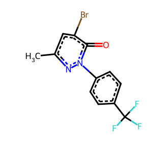 Cc1cc(Br)c(=O)n(-c2ccc(C(F)(F)F)cc2)n1